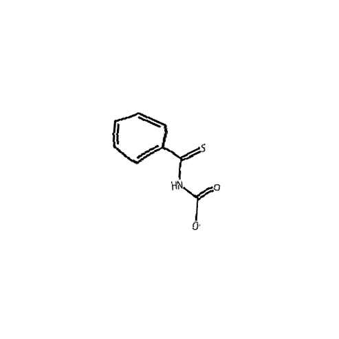 [O]C(=O)NC(=S)c1ccccc1